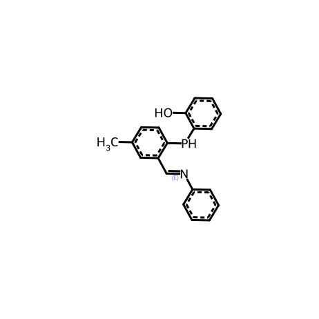 Cc1ccc(Pc2ccccc2O)c(/C=N/c2ccccc2)c1